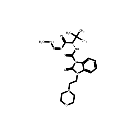 CN/N=N\C(=N)[C@@H](NC(=O)n1c(=O)n(CCN2CCOCC2)c2ccccc21)C(C)(C)C